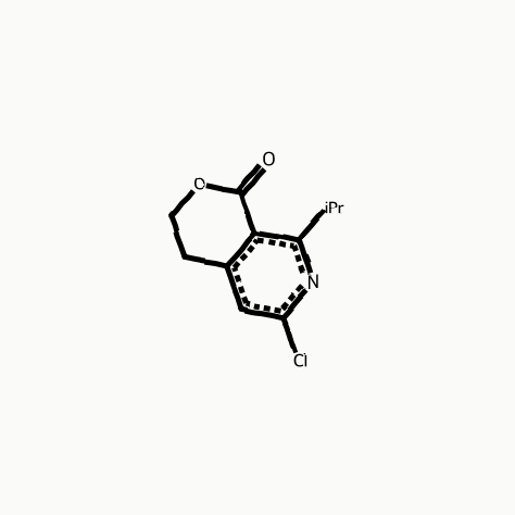 CC(C)c1nc(Cl)cc2c1C(=O)OCC2